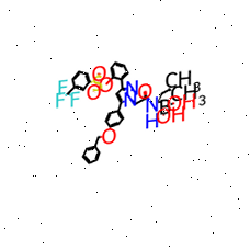 CC(C)C[C@H](NC(=O)Cn1nc(-c2ccccc2OS(=O)(=O)c2cccc(C(F)(F)F)c2)cc1-c1ccc(OCc2ccccc2)cc1)B(O)O